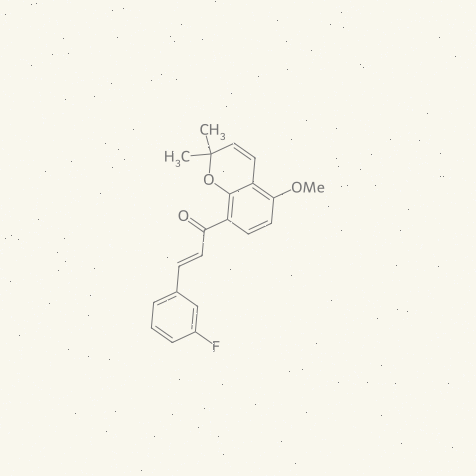 COc1ccc(C(=O)C=Cc2cccc(F)c2)c2c1C=CC(C)(C)O2